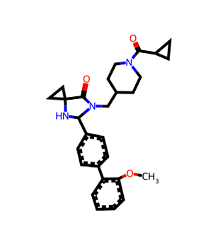 COc1ccccc1-c1ccc(C2NC3(CC3)C(=O)N2CC2CCN(C(=O)C3CC3)CC2)cc1